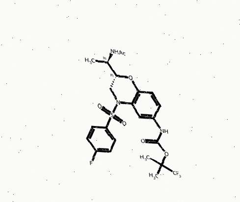 CC(=O)N[C@H](C)[C@H]1CN(S(=O)(=O)c2ccc(F)cc2)c2cc(NC(=O)OC(C)(C)C(F)(F)F)ccc2O1